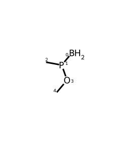 BP(C)OC